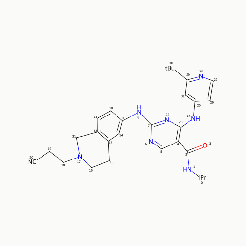 CC(C)NC(=O)c1cnc(Nc2ccc3c(c2)CCN(CCC#N)C3)nc1Nc1ccnc(C(C)(C)C)c1